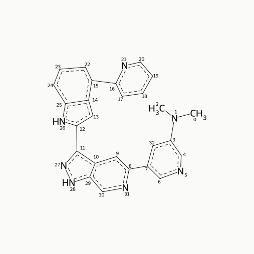 CN(C)c1cncc(-c2cc3c(-c4cc5c(-c6ccccn6)cccc5[nH]4)n[nH]c3cn2)c1